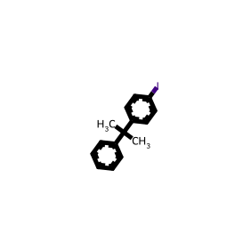 CC(C)(c1ccccc1)c1ccc(I)cc1